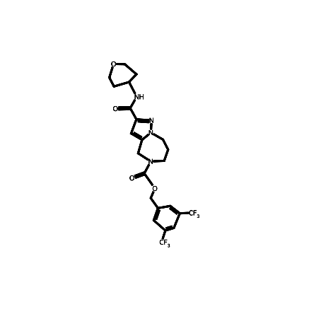 O=C(NC1CCOCC1)c1cc2n(n1)CCCN(C(=O)OCc1cc(C(F)(F)F)cc(C(F)(F)F)c1)C2